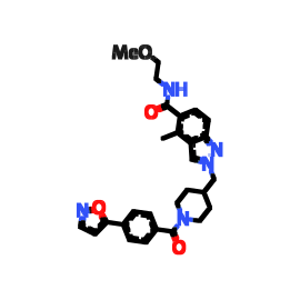 COCCNC(=O)c1ccc2nn(CC3CCN(C(=O)c4ccc(-c5ccno5)cc4)CC3)cc2c1C